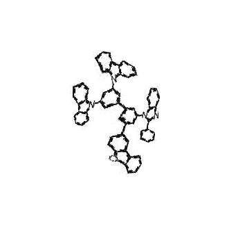 c1ccc(-c2nc3ccccc3n2-c2cc(-c3cc(-n4c5ccccc5c5ccccc54)cc(-n4c5ccccc5c5ccccc54)c3)cc(-c3ccc4oc5ccccc5c4c3)c2)cc1